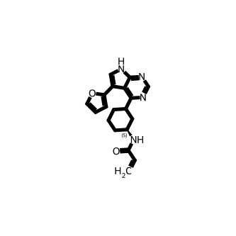 C=CC(=O)N[C@H]1CCCC(c2ncnc3[nH]cc(-c4ccco4)c23)C1